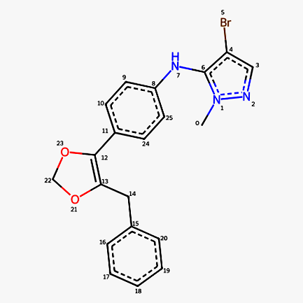 Cn1ncc(Br)c1Nc1ccc(C2=C(Cc3ccccc3)OCO2)cc1